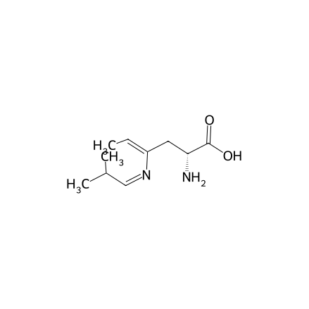 C/C=C(C[C@@H](N)C(=O)O)\N=C/C(C)C